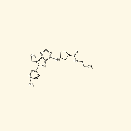 CCCNC(=O)N1CCC(Nc2ncnc3c2nc(-c2cnc(C)nc2)n3CC)C1